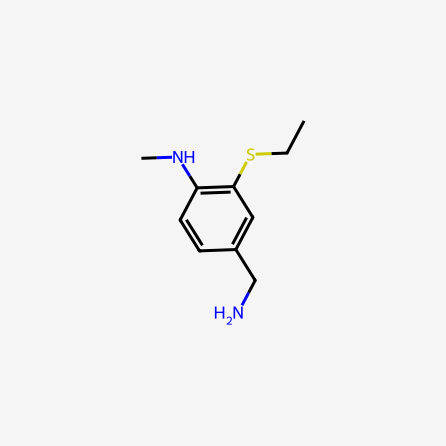 CCSc1cc(CN)ccc1NC